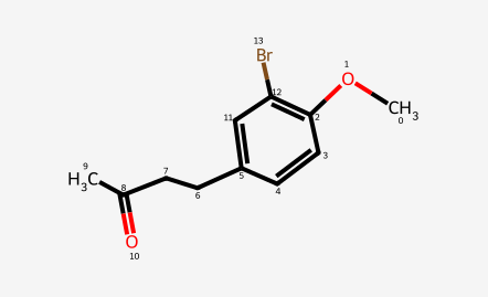 COc1ccc(CCC(C)=O)cc1Br